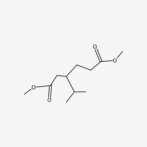 COC(=O)CCC(CC(=O)OC)C(C)C